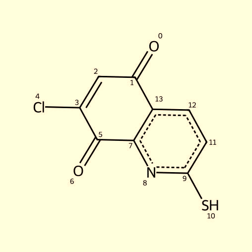 O=C1C=C(Cl)C(=O)c2nc(S)ccc21